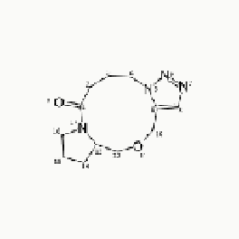 O=C1CCCn2nncc2COCC2CCCN12